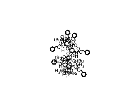 CC(C)(C)[Si](C)(C)OC[C@H]1O[C@@H](O[C@@H]2[C@@H](O)[C@H](NC(=O)OCc3ccccc3)C[C@H](NC(=O)OCc3ccccc3)[C@H]2O[C@H]2O[C@@H]3COC(c4ccccc4)O[C@H]3[C@H](O[Si](C)(C)C(C)(C)C)[C@H]2NC(=O)OCc2ccccc2)[C@H](O[Si](C)(C)C(C)(C)C)[C@@H]1O[C@H]1O[C@@H](CNC(=O)OCc2ccccc2)[C@@H](O[Si](C)(C)C(C)(C)C)[C@H](O[Si](C)(C)C(C)(C)C)[C@H]1NC(=O)OCc1ccccc1